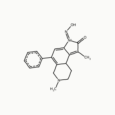 CC1=C2C(=CC(c3ccccc3)=C3CN(C)CCC32)[N+](=NO)C1=O